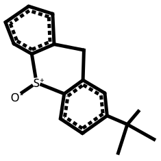 CC(C)(C)c1ccc2c(c1)Cc1ccccc1[S+]2[O-]